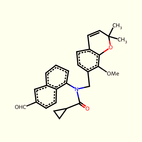 COc1c(CN(C(=O)C2CC2)c2cccc3cc(C=O)ccc23)ccc2c1OC(C)(C)C=C2